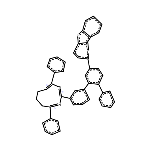 C1=C(c2ccccc2)/N=C(c2cccc(-c3cc(-c4ccc5sc6ccccc6c5c4)ccc3-c3ccccc3)c2)\N=C(\c2ccccc2)CCC/1